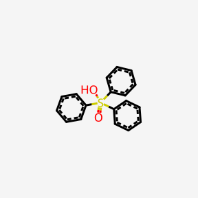 O=S(O)(c1ccccc1)(c1ccccc1)c1ccccc1